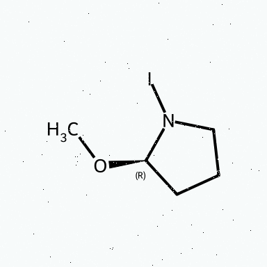 CO[C@@H]1CCCN1I